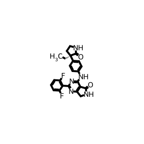 CC[C@]1(c2ccc(Nc3nc(-c4c(F)cccc4F)nc4c3C(=O)NC4)cc2)CCNC1=O